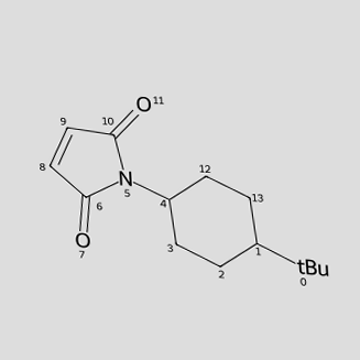 CC(C)(C)C1CCC(N2C(=O)C=CC2=O)CC1